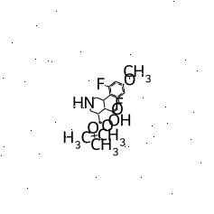 COc1cc(F)c(C2CNCC(C(=O)OC(C)(C)C)C2C(=O)O)c(F)c1